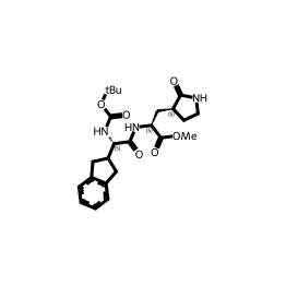 COC(=O)[C@H](C[C@@H]1CCNC1=O)NC(=O)[C@@H](NC(=O)OC(C)(C)C)C1Cc2ccccc2C1